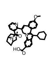 COc1ccc2c(c1)C=C(c1ncccc1C(=O)N1C3CCC1CN(C)C3)Cn1c-2c(C2CCCCC2)c2ccc(C(=O)O)cc21